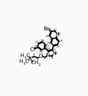 CS(C)(C)CCOCn1cnc(-c2ccc3ncc(Br)cc3c2)c1-c1cccc(Cl)c1